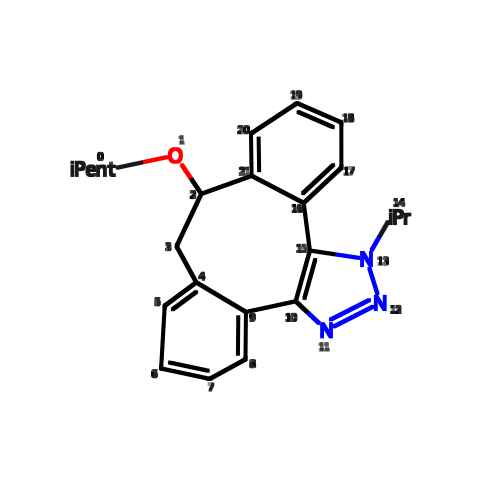 CCCC(C)OC1Cc2ccccc2-c2nnn(C(C)C)c2-c2ccccc21